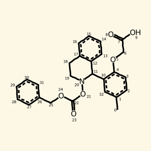 Cc1ccc(OCC(=O)O)c(C2c3ccccc3CCN2OC(=O)OCc2ccccc2)c1